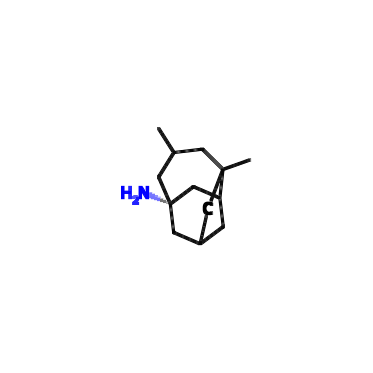 CC1CC2(C)CC3CC2C[C@](N)(C1)C3